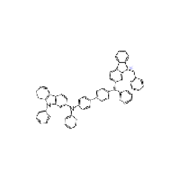 C1=CCC(n2c3c(c4ccc(N(c5ccccc5)c5ccc(-c6ccc(N(c7ccccc7)c7ccc8c(c7)/C(=C\c7ccccc7)c7ccccc7-8)cc6)cc5)cc42)C=CCC3)C=C1